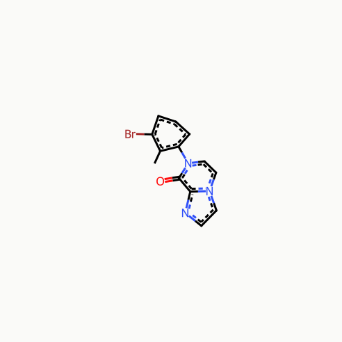 Cc1c(Br)cccc1-n1ccn2ccnc2c1=O